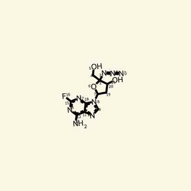 [N-]=[N+]=NC1(CO)OC(n2cnc3c(N)nc(F)nc32)CC1O